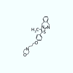 CC1=C(c2ccc(OCCCN3CCOCC3)cc2)SC2=NCc3ccccc3CN21